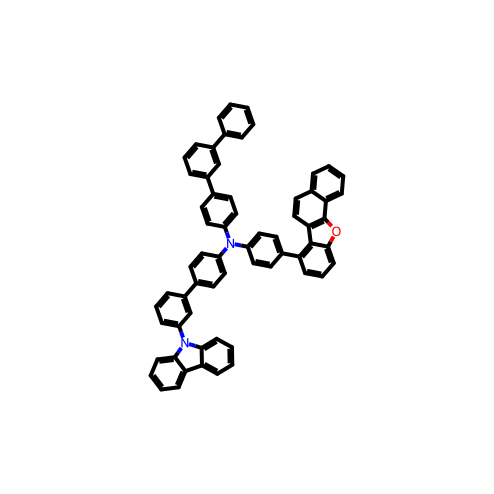 c1ccc(-c2cccc(-c3ccc(N(c4ccc(-c5cccc(-n6c7ccccc7c7ccccc76)c5)cc4)c4ccc(-c5cccc6oc7c8ccccc8ccc7c56)cc4)cc3)c2)cc1